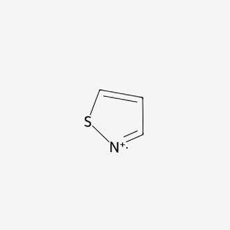 C1=CS[N+]=C1